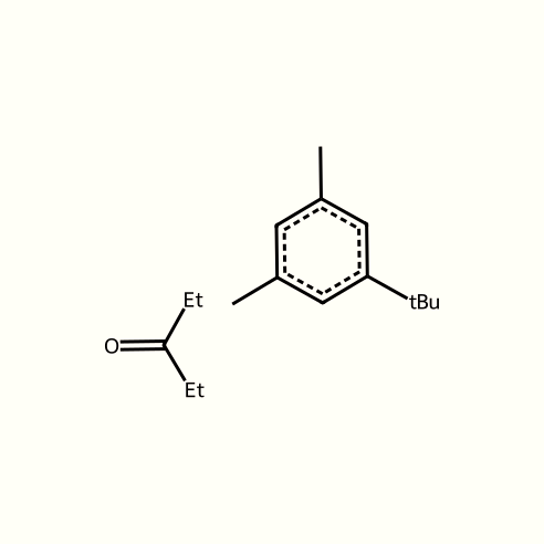 CCC(=O)CC.Cc1cc(C)cc(C(C)(C)C)c1